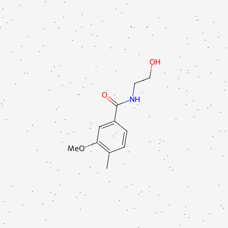 COc1cc(C(=O)NCCO)ccc1C